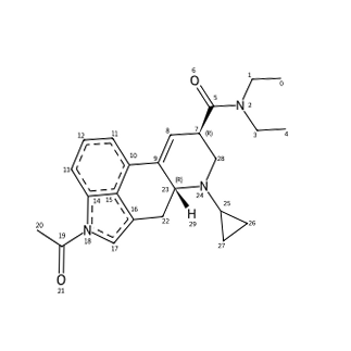 CCN(CC)C(=O)[C@@H]1C=C2c3cccc4c3c(cn4C(C)=O)C[C@H]2N(C2CC2)C1